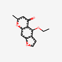 CCOc1c2ccoc2cc2oc(C)cc(=O)c12